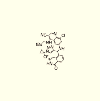 CC(C)(C)CNc1c(C#N)cnc2c(Cl)cc(N[C@H](c3cn(C4(C(F)(F)F)CC4)nn3)c3cccc4c(=O)[nH]ccc34)cc12